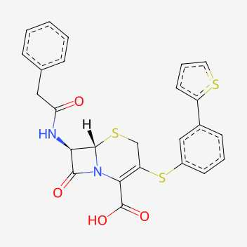 O=C(Cc1ccccc1)N[C@@H]1C(=O)N2C(C(=O)O)=C(Sc3cccc(-c4cccs4)c3)CS[C@@H]12